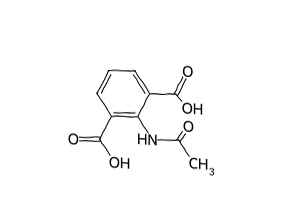 CC(=O)Nc1c(C(=O)O)cccc1C(=O)O